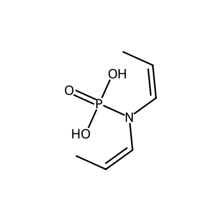 C/C=C\N(/C=C\C)P(=O)(O)O